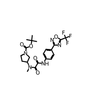 CN(C(=O)C(=O)Nc1ccc(-c2noc(C(F)(F)F)n2)cc1)C1CCN(C(=O)OC(C)(C)C)C1